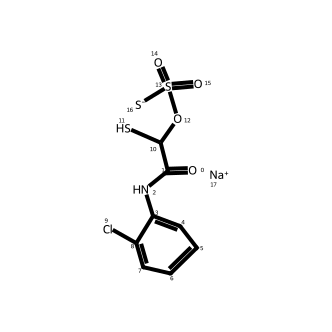 O=C(Nc1ccccc1Cl)C(S)OS(=O)(=O)[S-].[Na+]